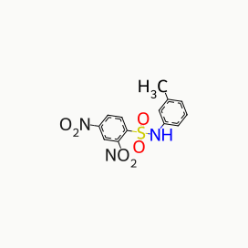 Cc1cccc(NS(=O)(=O)c2ccc([N+](=O)[O-])cc2[N+](=O)[O-])c1